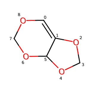 C1=C2OCOC2OCO1